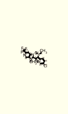 CC[S+]([O-])c1c(-c2nc3cc(C(F)(F)F)ncc3n2C)nn2cc(Cl)ccc12